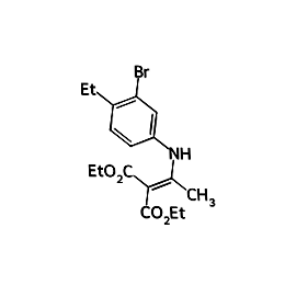 CCOC(=O)C(C(=O)OCC)=C(C)Nc1ccc(CC)c(Br)c1